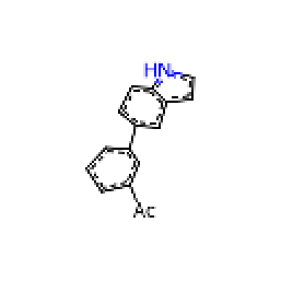 CC(=O)c1cccc(-c2ccc3[nH]ccc3c2)c1